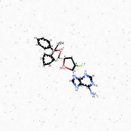 CC(C)(C)[Si](OC[C@@H]1C[C@@H](F)[C@H](n2cnc3c(N)ncnc32)O1)(c1ccccc1)c1ccccc1